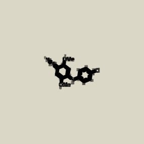 COC1=CC(=[N+]=[N-])C(OC)C=C1Sc1ccc(Cl)cc1